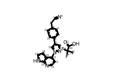 N#CCc1ccc(-c2cnn(-c3ccnc4[nH]ccc34)c2)cc1.O=C(O)C(F)(F)F